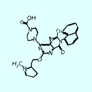 Cc1nc2c(N3CCN(C(=O)O)CC3)nc(OCC3CCCN3C)nc2c(=O)n1-c1cccc2ccccc12